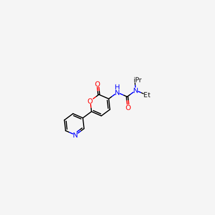 CCN(C(=O)Nc1ccc(-c2cccnc2)oc1=O)C(C)C